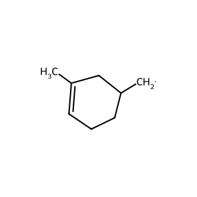 [CH2]C1CCC=C(C)C1